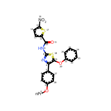 CCCOc1ccc(-c2nc(NC(=O)c3ccc([N+](=O)[O-])s3)sc2Oc2ccccc2)cc1